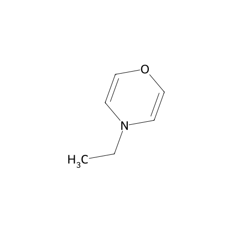 CCN1C=COC=C1